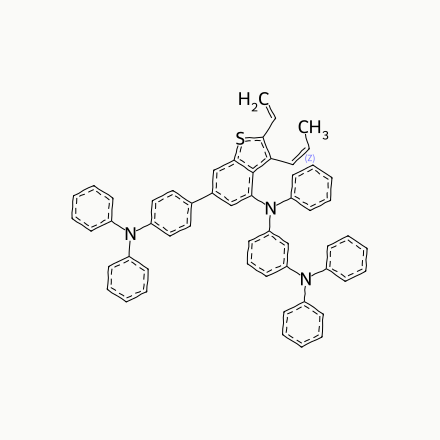 C=Cc1sc2cc(-c3ccc(N(c4ccccc4)c4ccccc4)cc3)cc(N(c3ccccc3)c3cccc(N(c4ccccc4)c4ccccc4)c3)c2c1/C=C\C